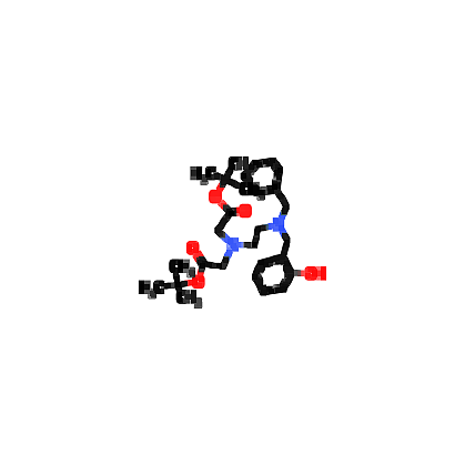 CC(C)(C)OC(=O)CN(CCN(Cc1ccccc1)Cc1ccccc1O)CC(=O)OC(C)(C)C